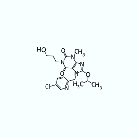 CC(C)Oc1nc2c(c(=O)n(CCCO)c(=O)n2C)n1Cc1ccc(Cl)cn1